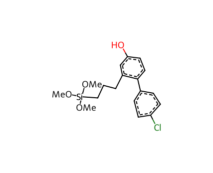 CO[Si](CCCc1cc(O)ccc1-c1ccc(Cl)cc1)(OC)OC